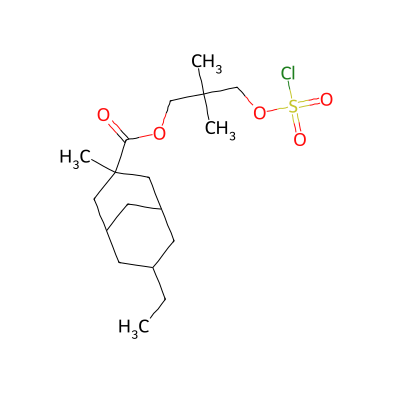 CCC1CC2CC(C1)CC(C)(C(=O)OCC(C)(C)COS(=O)(=O)Cl)C2